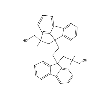 CC(C)(CO)CC1(CCC2(CC(C)(C)CO)c3ccccc3-c3ccccc32)c2ccccc2-c2ccccc21